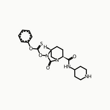 O=C(NC1CCNCC1)[C@@H]1CC[C@@H]2CN1C(=O)N2OC(=S)Oc1ccccc1